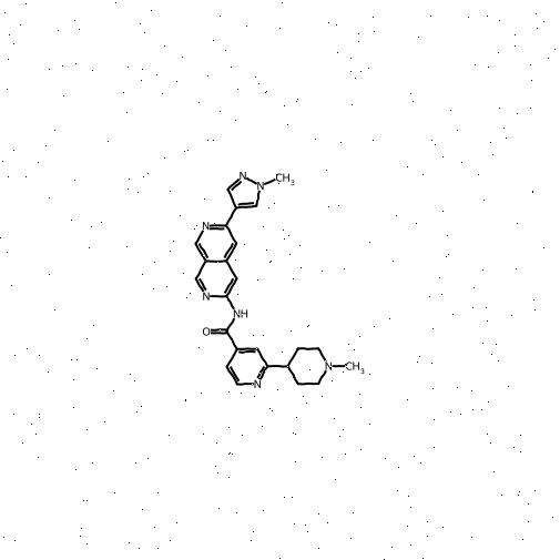 CN1CCC(c2cc(C(=O)Nc3cc4cc(-c5cnn(C)c5)ncc4cn3)ccn2)CC1